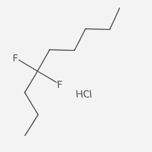 CCCCCC(F)(F)CCC.Cl